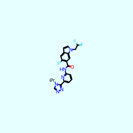 CC(C)n1cnnc1-c1cccc(NC(=O)c2cc3c(ccn3CC(F)F)cc2F)n1